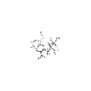 C=Nc1cc2c(cc1NS(=O)(=O)C(F)(F)F)N(CC)CCC2